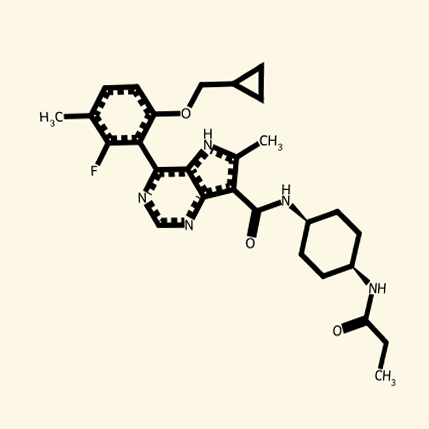 CCC(=O)N[C@H]1CC[C@@H](NC(=O)c2c(C)[nH]c3c(-c4c(OCC5CC5)ccc(C)c4F)ncnc23)CC1